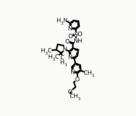 COCCOc1ncc(-c2ccc(C(=O)NS(=O)(=O)c3cccc(N)n3)c(N3CCC(C)C3(C)C)n2)cc1C